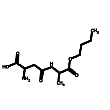 CCCCOC(=O)C(C)NC(=O)CC(N)C(=O)O